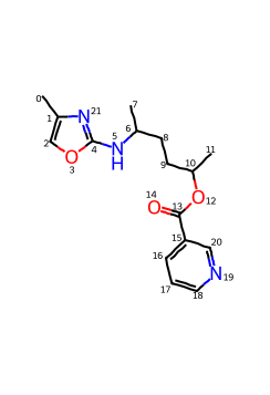 Cc1coc(NC(C)CCC(C)OC(=O)c2cccnc2)n1